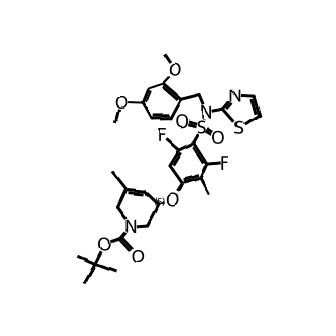 COc1ccc(CN(c2nccs2)S(=O)(=O)c2c(F)cc(O[C@H]3C=C(C)CN(C(=O)OC(C)(C)C)C3)c(C)c2F)c(OC)c1